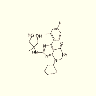 Cc1cc(F)ccc1-c1nc(NC(C)(CO)CO)nc2c1C(=O)NCN2C1CCCCC1